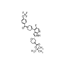 CC(C)(C)OC(=O)N1CCO[C@H](c2cc3c(C4=CCN(C(=O)c5ccc(OC(F)(F)F)cc5)CC4)c(F)cnc3[nH]2)C1